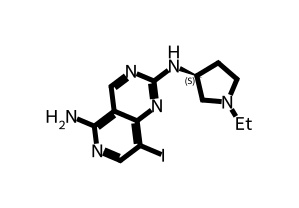 CCN1CC[C@H](Nc2ncc3c(N)ncc(I)c3n2)C1